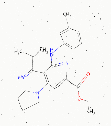 CCOC(=O)c1cc(N2CCCC2)c(C(=N)C(C)C)c(Nc2cccc(C)c2)n1